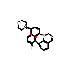 Fc1ccccc1-c1cccc2c1N(c1ccc(N3CCOCC3)cc1)CN=C2